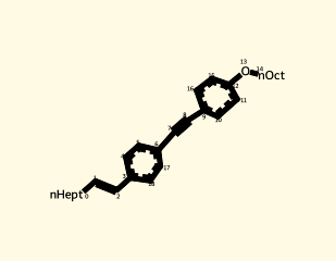 CCCCCCCC=Cc1ccc(C#Cc2ccc(OCCCCCCCC)cc2)cc1